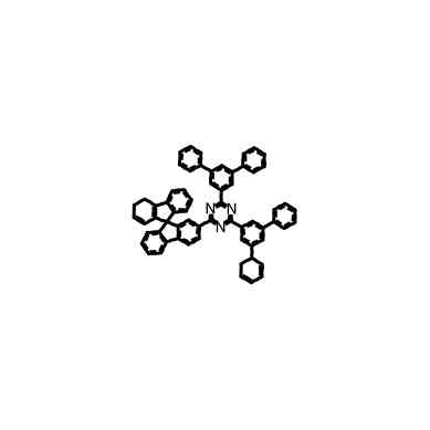 C1=CCC(c2cc(-c3ccccc3)cc(-c3nc(-c4cc(-c5ccccc5)cc(-c5ccccc5)c4)nc(-c4ccc5c(c4)C4(C6=C(CCC=C6)c6ccccc64)c4ccccc4-5)n3)c2)C=C1